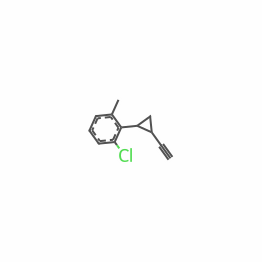 C#CC1CC1c1c(C)cccc1Cl